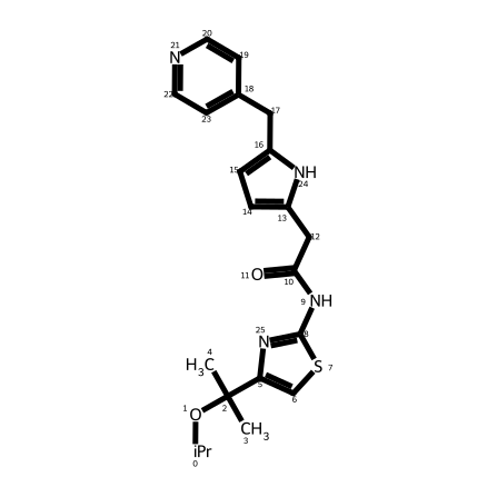 CC(C)OC(C)(C)c1csc(NC(=O)Cc2ccc(Cc3ccncc3)[nH]2)n1